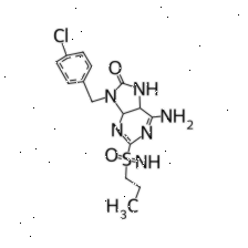 CCCS(=N)(=O)C1=NC2C(NC(=O)N2Cc2ccc(Cl)cc2)C(N)=N1